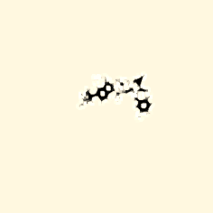 Cn1cc(-c2ccc3c(c2)C(O)C[C@@H]3C(=O)N(CC(=O)N2Cc3cc(F)ccc3OC[C@H]2C2CC2)C(N)=O)cn1